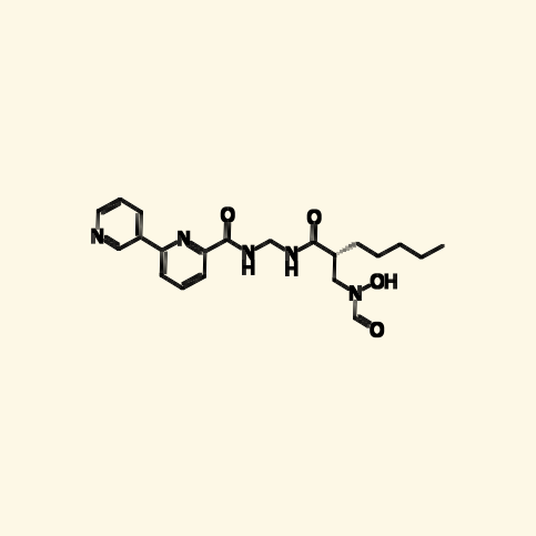 CCCCC[C@H](CN(O)C=O)C(=O)NCNC(=O)c1cccc(-c2cccnc2)n1